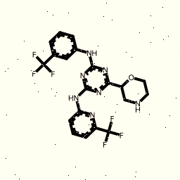 FC(F)(F)c1cccc(Nc2nc(Nc3cccc(C(F)(F)F)n3)nc(C3CNCCO3)n2)c1